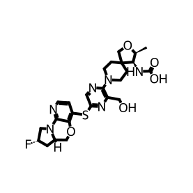 C[C@@H]1OCC2(CCN(c3ncc(Sc4ccnc5c4OC[C@@H]4C[C@H](F)CN54)nc3CO)CC2)[C@@H]1NC(=O)O